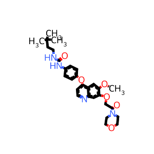 COc1cc2c(Oc3ccc(NC(=O)NCCC(C)(C)C)cc3)ccnc2cc1OCC(=O)N1CCOCC1